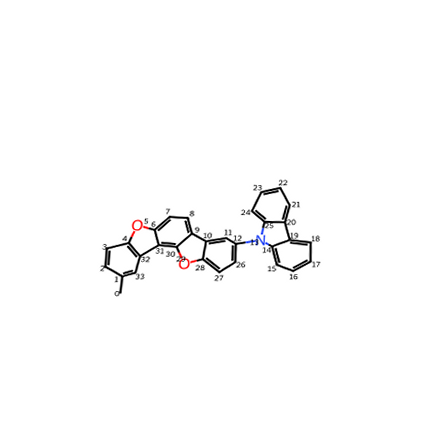 Cc1ccc2oc3ccc4c5cc(-n6c7ccccc7c7ccccc76)ccc5oc4c3c2c1